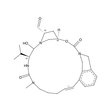 CC(C)[C@@H]1NC(=O)N(C)CCC/C=C/c2cccc3c2CN(C3)C(=O)O[C@@H]2C[C@@H](C=O)N(C2)C1O